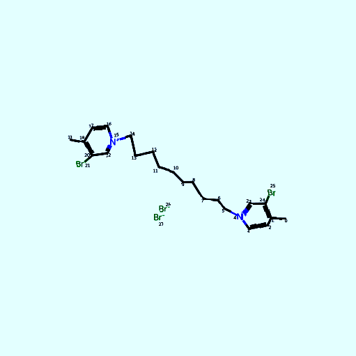 Cc1cc[n+](CCCCCCCCCC[n+]2ccc(C)c(Br)c2)cc1Br.[Br-].[Br-]